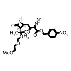 COCCOCOC(C)(C)[C@H]1C(=O)N[C@H]1CC(=O)C(=[N+]=[N-])C(=O)OCc1ccc([N+](=O)[O-])cc1